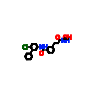 O=C(/C=C/c1cccc(C(=O)Nc2ccc(Cl)c(-c3ccccc3)c2)c1)NO